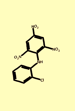 O=[N+]([O-])c1cc([N+](=O)[O-])c(Nc2ccccc2Cl)c([N+](=O)[O-])c1